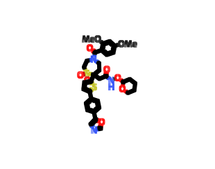 COc1ccc(C(=O)N2CCC(CC(=O)NOC3CCCCO3)(c3ccc(-c4ccc(-c5cnco5)cc4)s3)S(=O)(=O)CC2)c(OC)c1